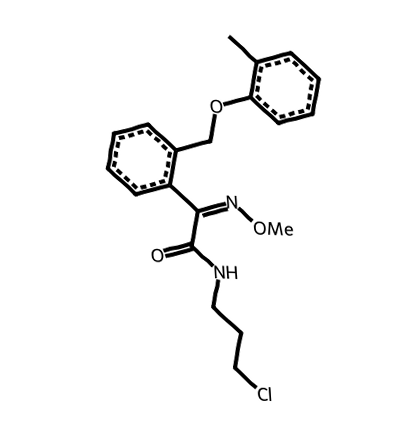 CON=C(C(=O)NCCCCl)c1ccccc1COc1ccccc1C